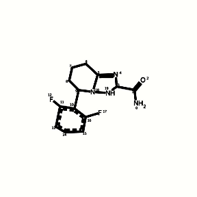 NC(=O)C1N=C2CCCC(c3c(F)cccc3F)N2N1